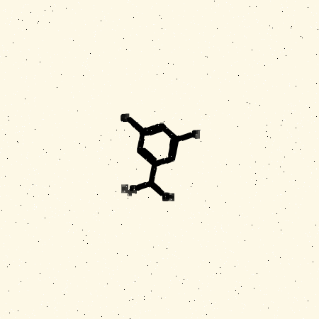 CC(O)c1cc(Cl)[c]c(Cl)c1